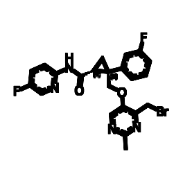 Cc1ncc(OC[C@]2(c3cccc(F)c3)C[C@H]2C(=O)Nc2ccc(F)cn2)c(CBr)n1